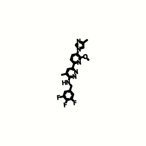 COc1nc(-c2cc(C)c(NCc3cc(F)c(F)c(F)c3)nn2)ccc1-n1cnc(C)c1